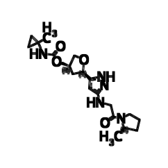 C[C@@H]1CCCN1C(=O)CNc1cc([C@H]2C[C@@H](OC(=O)NC3(C)CC3)CO2)[nH]n1